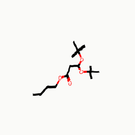 CCCCOC(=O)CC(OC(C)(C)C)OC(C)(C)C